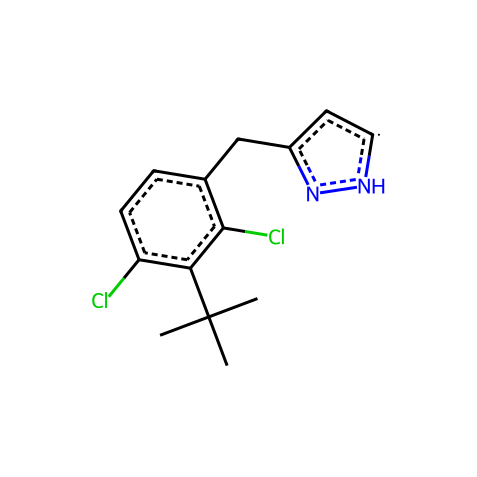 CC(C)(C)c1c(Cl)ccc(Cc2c[c][nH]n2)c1Cl